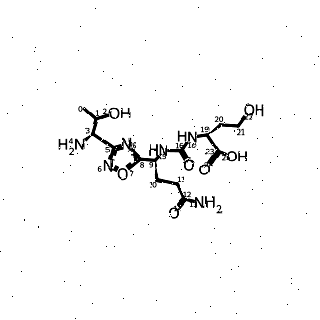 CC(O)[C@H](N)c1noc([C@H](CCC(N)=O)NC(=O)N[C@@H](CCO)C(=O)O)n1